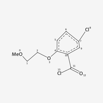 COCCOc1ccc(Cl)cc1C(=O)Cl